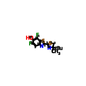 CC(C)(C)C1(C)CSC(c2nc3cc(F)c(O)c(F)c3s2)=N1